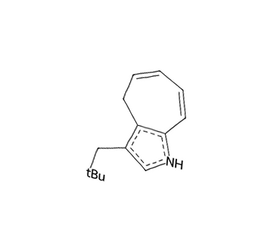 CC(C)(C)Cc1c[nH]c2c1CC=CC=C2